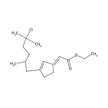 CCOC(=O)/C=C1/C=C(CC(C)CCC(C)(C)Cl)CC1